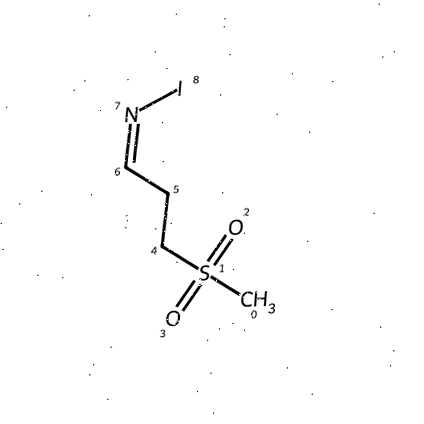 CS(=O)(=O)CC/C=N\I